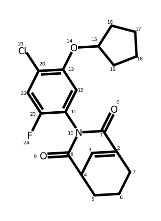 O=C1C2=CC(CCC2)C(=O)N1c1cc(OC2CCCC2)c(Cl)cc1F